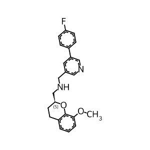 COc1cccc2c1O[C@H](CNCc1cncc(-c3ccc(F)cc3)c1)CC2